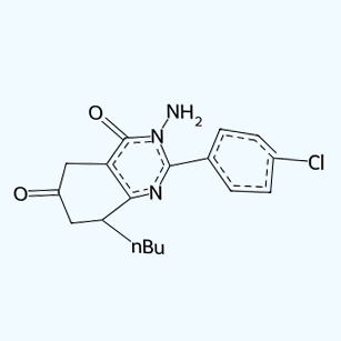 CCCCC1CC(=O)Cc2c1nc(-c1ccc(Cl)cc1)n(N)c2=O